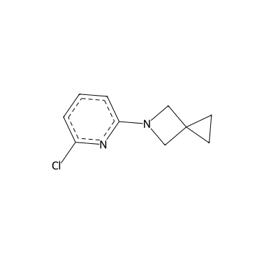 Clc1cccc(N2CC3(CC3)C2)n1